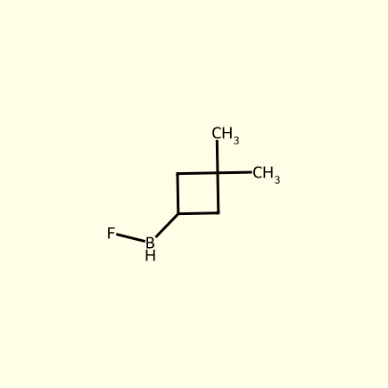 CC1(C)CC(BF)C1